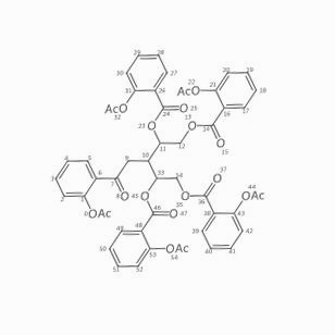 CC(=O)Oc1ccccc1C(=O)CC(C(COC(=O)c1ccccc1OC(C)=O)OC(=O)c1ccccc1OC(C)=O)C(COC(=O)c1ccccc1OC(C)=O)OC(=O)c1ccccc1OC(C)=O